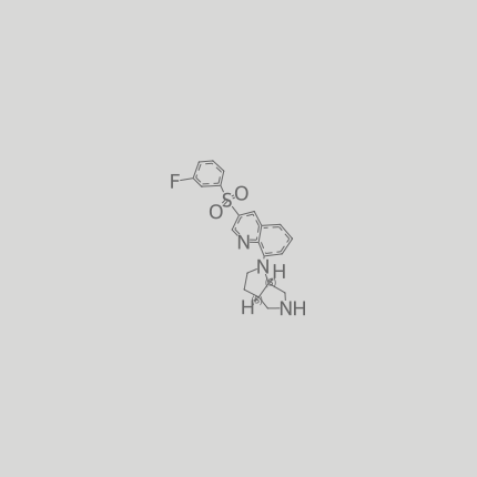 O=S(=O)(c1cccc(F)c1)c1cnc2c(N3CC[C@H]4CNC[C@H]43)cccc2c1